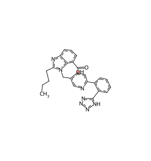 CCCCc1nc2cccc(C(=O)O)c2n1Cc1ccc(-c2ccccc2-c2nnn[nH]2)nc1